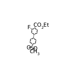 CCOC(=O)c1ccc(-c2ccc(S(C)(=O)=O)cc2)cc1F